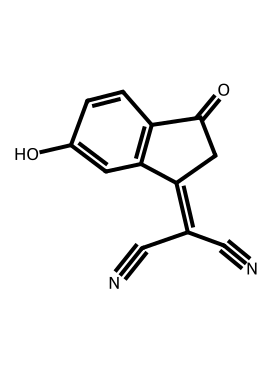 N#CC(C#N)=C1CC(=O)c2ccc(O)cc21